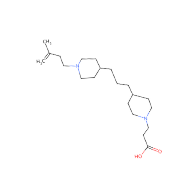 C=C(C)CCN1CCC(CCCC2CCN(CCC(=O)O)CC2)CC1